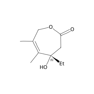 CC[C@]1(O)CC(=O)OCC(C)=C1C